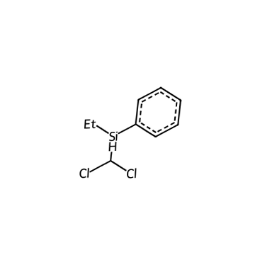 CC[SiH](c1ccccc1)C(Cl)Cl